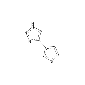 [c]1cc(-c2nn[nH]n2)cs1